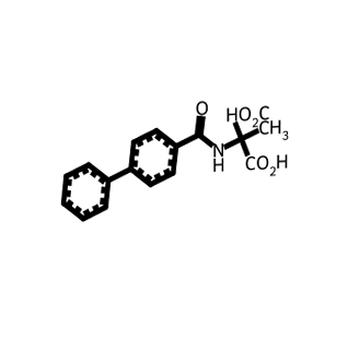 CC(NC(=O)c1ccc(-c2ccccc2)cc1)(C(=O)O)C(=O)O